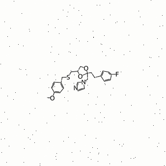 COc1ccc(CSCC2COC(CCc3ccc(F)cc3)(Cn3ccnc3)O2)cc1